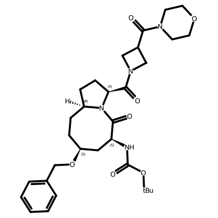 CC(C)(C)OC(=O)N[C@H]1C[C@@H](OCc2ccccc2)CC[C@H]2CC[C@@H](C(=O)N3CC(C(=O)N4CCOCC4)C3)N2C1=O